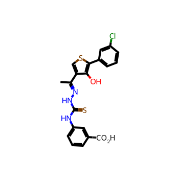 C/C(=N\NC(=S)Nc1cccc(C(=O)O)c1)c1csc(-c2cccc(Cl)c2)c1O